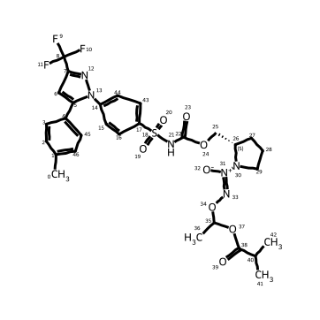 Cc1ccc(-c2cc(C(F)(F)F)nn2-c2ccc(S(=O)(=O)NC(=O)OC[C@@H]3CCCN3[N+]([O-])=NOC(C)OC(=O)C(C)C)cc2)cc1